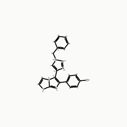 Clc1ccc(-c2nc3sccn3c2-c2cn(Cc3ccccc3)nn2)cc1